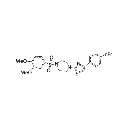 CCCc1ccc(-c2csc(N3CCN(S(=O)(=O)c4ccc(OC)c(OC)c4)CC3)n2)cc1